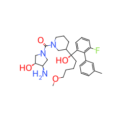 COCCCC[C@@](O)(c1cccc(F)c1-c1cccc(C)c1)C1CCCN(C(=O)N2C[C@@H](N)[C@@H](O)C2)C1